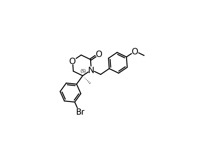 COc1ccc(CN2C(=O)COC[C@]2(C)c2cccc(Br)c2)cc1